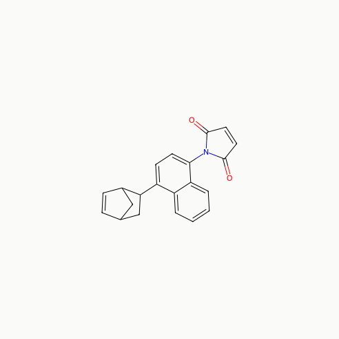 O=C1C=CC(=O)N1c1ccc(C2CC3C=CC2C3)c2ccccc12